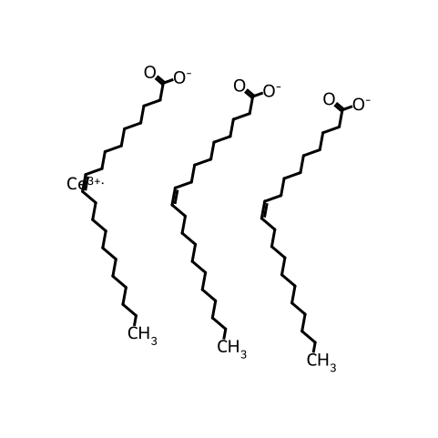 CCCCCCCCCC/C=C\CCCCCCCC(=O)[O-].CCCCCCCCCC/C=C\CCCCCCCC(=O)[O-].CCCCCCCCCC/C=C\CCCCCCCC(=O)[O-].[Ce+3]